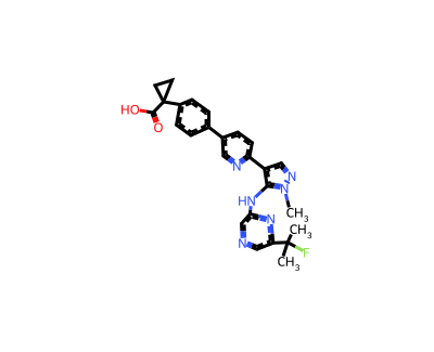 Cn1ncc(-c2ccc(-c3ccc(C4(C(=O)O)CC4)cc3)cn2)c1Nc1cncc(C(C)(C)F)n1